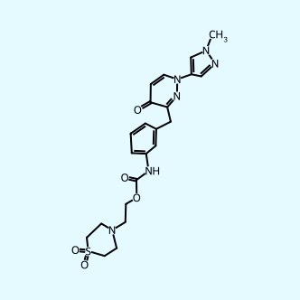 Cn1cc(-n2ccc(=O)c(Cc3cccc(NC(=O)OCCN4CCS(=O)(=O)CC4)c3)n2)cn1